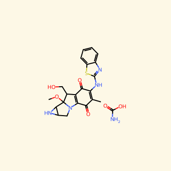 COC12C(CO)C3=C(C(=O)C(C)=C(Nc4nc5ccccc5s4)C3=O)N1CC1NC12.NC(=O)O